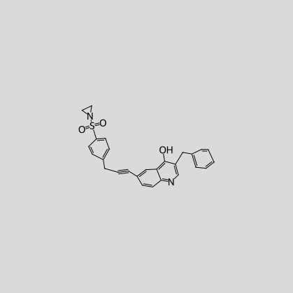 O=S(=O)(c1ccc(CC#Cc2ccc3ncc(Cc4ccccc4)c(O)c3c2)cc1)N1CC1